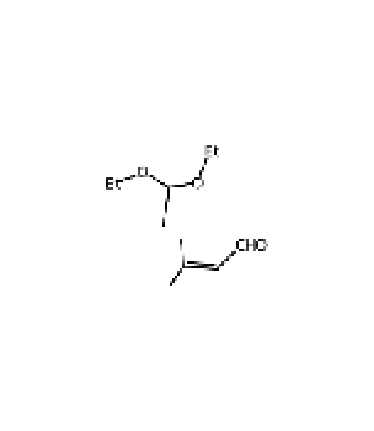 CC(C)=CC=O.CCOC(C)OCC